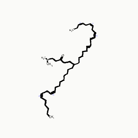 CC/C=C\C/C=C\C/C=C\CCCCCCCCC(CCCCCCCC/C=C\C/C=C\CCCCC)CCC(=O)CCN(C)C